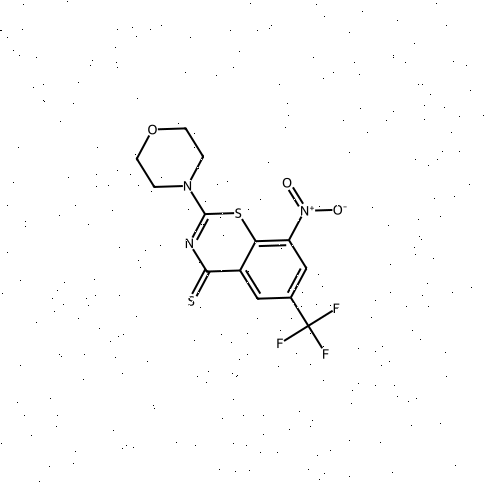 O=[N+]([O-])c1cc(C(F)(F)F)cc2c(=S)nc(N3CCOCC3)sc12